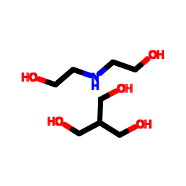 OCC(CO)CO.OCCNCCO